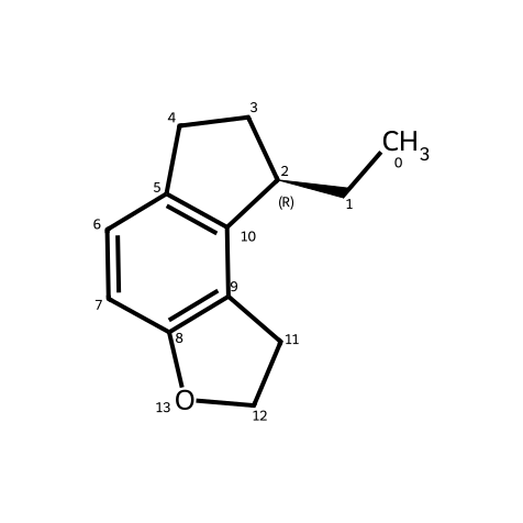 CC[C@@H]1CCc2ccc3c(c21)CCO3